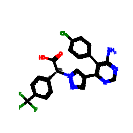 Nc1ncnc(-c2cnn([C@@H](C(=O)O)c3ccc(C(F)(F)F)cc3)c2)c1-c1ccc(Cl)cc1